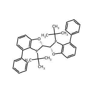 CC(C)(C)P1c2c(cccc2-c2ccccc2)O[C@@H]1[C@H]1Oc2cccc(-c3ccccc3)c2P1C(C)(C)C